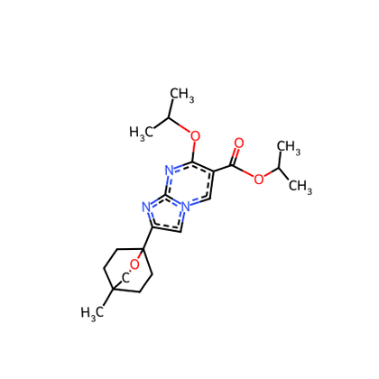 CC(C)OC(=O)c1cn2cc(C34CCC(C)(CC3)CO4)nc2nc1OC(C)C